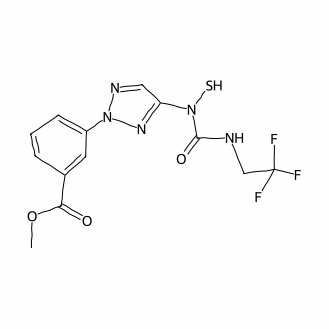 COC(=O)c1cccc(-n2ncc(N(S)C(=O)NCC(F)(F)F)n2)c1